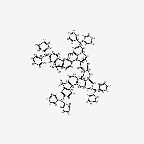 CC1(C)c2cc(N(c3ccccc3)c3ccccc3)ccc2-c2c1ccc1c2Oc2cc(N(c3ccccc3)c3ccccc3)cc3c2B1c1cc2c(cc1S3)Sc1cc(N(c3ccccc3)c3ccccc3)cc3c1B2c1ccc2c(c1O3)-c1ccc(N(c3ccccc3)c3ccccc3)cc1C2(C)C